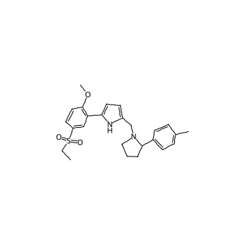 CCS(=O)(=O)c1ccc(OC)c(-c2ccc(CN3CCCC3c3ccc(C)cc3)[nH]2)c1